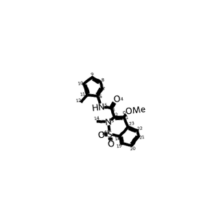 COC1=C(C(=O)Nc2ccccc2C)N(C)S(=O)(=O)c2ccccc21